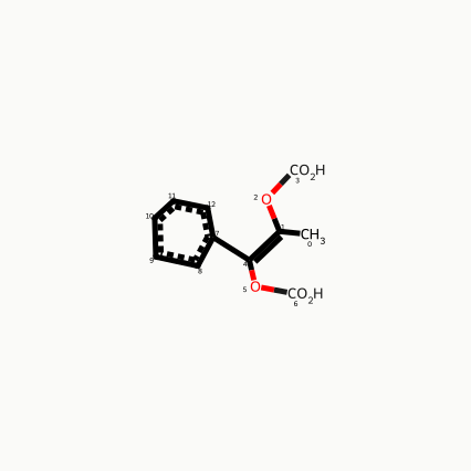 C/C(OC(=O)O)=C(\OC(=O)O)c1ccccc1